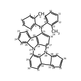 Cc1ccccc1N(c1ccccc1C)c1ccc2c3c1c1ccccc1n3c1cccc3c4ccccc4n2c31